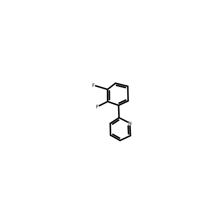 Fc1cccc(-c2ccccn2)c1F